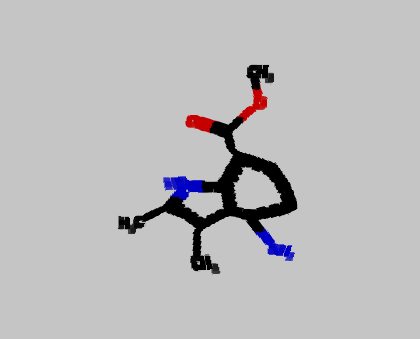 COC(=O)c1ccc(N)c2c(C)c(C)[nH]c12